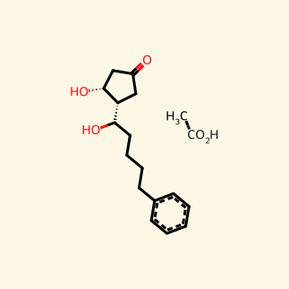 CC(=O)O.O=C1C[C@@H](O)[C@@H](C(O)CCCCc2ccccc2)C1